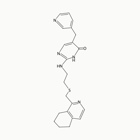 O=c1[nH]c(NCCSCc2nccc3c2CCCC3)ncc1Cc1cccnc1